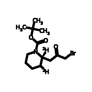 [2H]C1CCCN(C(=O)OC(C)(C)C)[C@]1([2H])CC(=O)CBr